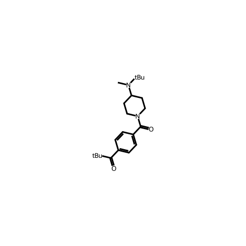 CN(C1CCN(C(=O)c2ccc(C(=O)C(C)(C)C)cc2)CC1)C(C)(C)C